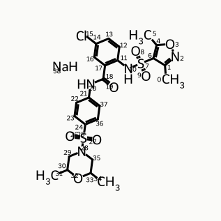 Cc1noc(C)c1S(=O)(=O)Nc1ccc(Cl)cc1C(=O)Nc1ccc(S(=O)(=O)N2CC(C)OC(C)C2)cc1.[NaH]